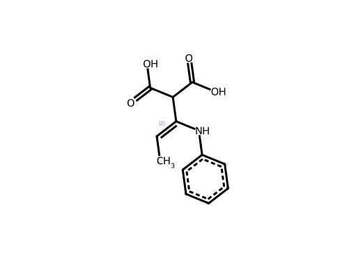 C/C=C(\Nc1ccccc1)C(C(=O)O)C(=O)O